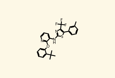 Cc1cccc(-c2sc(Nc3cccnc3Oc3ccccc3C(C)(C)C)nc2C(F)(F)F)c1